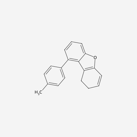 Cc1ccc(-c2cccc3oc4c(c23)CCC=C4)cc1